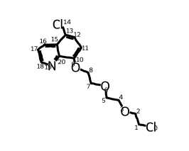 ClCCOCCOCCOc1ccc(Cl)c2cccnc12